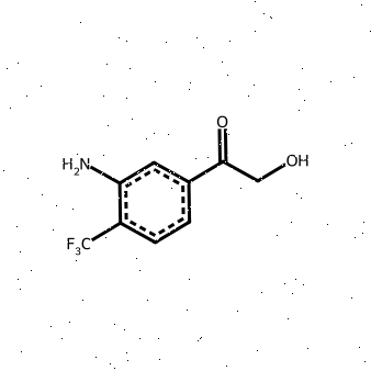 Nc1cc(C(=O)CO)ccc1C(F)(F)F